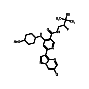 COC1CCC(Nc2cc(-c3cnn4cc(Cl)cnc34)ncc2C(=O)NCC(F)C(C)(C)O)CC1